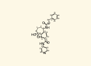 O=C(NC1CCCS(O)(O)c2cc(C(=O)Nc3ccncc3)ccc21)OCc1ccccc1